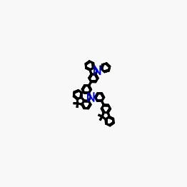 CC1(C)c2ccccc2-c2ccc(-c3cccc(N(c4cccc(-c5ccc6c(c5)c5ccccc5n6-c5ccccc5)c4)c4cccc5c4-c4ccccc4C5(C)C)c3)cc21